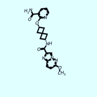 COc1ccc2nc(C(=O)N[C@H]3CC4(C3)C[C@H](Oc3ncccc3C(N)=O)C4)cn2n1